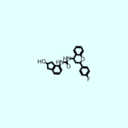 O=C(Nc1cccc2c1CC(O)C2)NC1CC(c2ccc(F)cc2)Oc2ccccc21